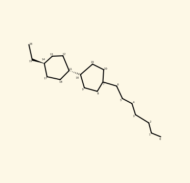 CCCCCCCC1CCC([C@H]2CC[C@H](CC)CC2)CC1